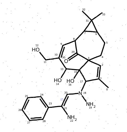 CC1=CC23CCC4C(C(C=C(CO)C(O)C2(O)C1N(N)/C=C(\N)c1ccccc1)C3=O)C4(C)C